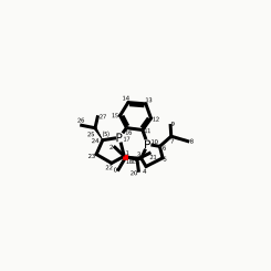 CC(C)C1CCC(C(C)C)P1c1ccccc1P1C(C(C)C)CC[C@H]1C(C)C